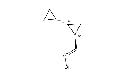 ON=C[C@@H]1C[C@H]1C1CC1